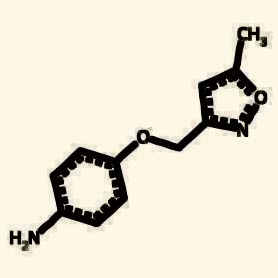 Cc1cc(COc2ccc(N)cc2)no1